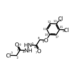 O=C(CCl)NNC(=O)COc1ccc(Cl)c(Cl)c1